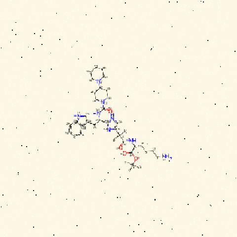 CC(C)(C)OC(=O)[C@@H](CCCCN)NC(=O)C(C)(C)c1c[nH]c([C@@H](Cc2c[nH]c3ccccc23)NC(=O)N2CCC(N3CCCCC3)CC2)n1